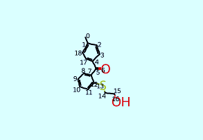 Cc1ccc(C(=O)c2ccccc2SCCO)cc1